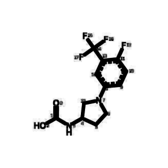 O=C(O)NC1CCN(c2ccc(F)c(C(F)(F)F)c2)C1